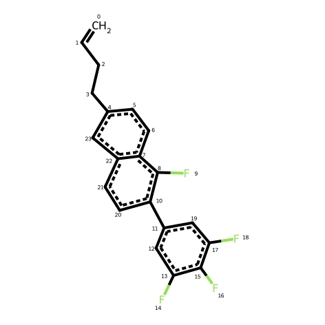 C=CCCc1ccc2c(F)c(-c3cc(F)c(F)c(F)c3)ccc2c1